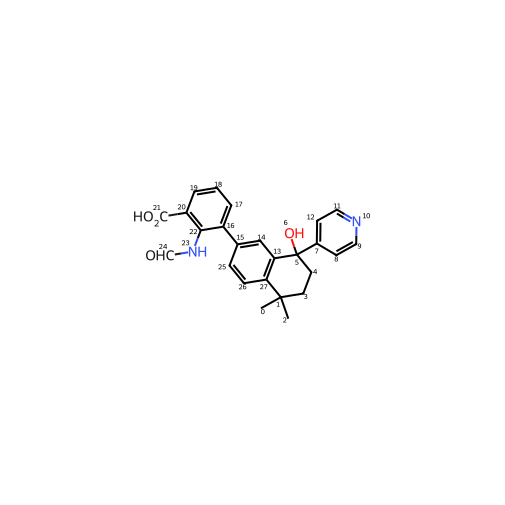 CC1(C)CCC(O)(c2ccncc2)c2cc(-c3cccc(C(=O)O)c3NC=O)ccc21